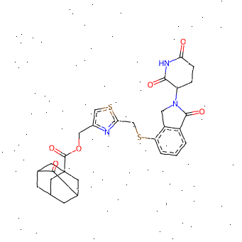 O=C1CCC(N2Cc3c(SCc4nc(COC(=O)C56CC7CC(C5)C(=O)C(C7)C6)cs4)cccc3C2=O)C(=O)N1